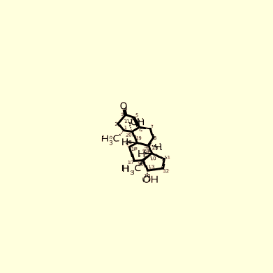 C[C@@H]1CC(=O)C=C2CC[C@H]3[C@@H]4CC[C@H](O)[C@@]4(C)CC[C@@H]3[C@]21CO